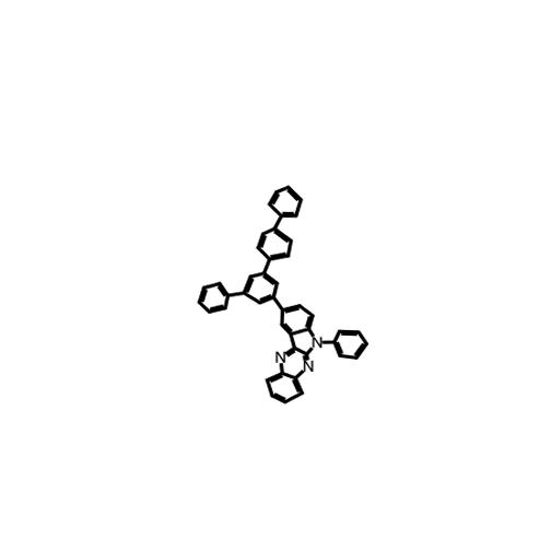 c1ccc(-c2ccc(-c3cc(-c4ccccc4)cc(-c4ccc5c(c4)c4nc6ccccc6nc4n5-c4ccccc4)c3)cc2)cc1